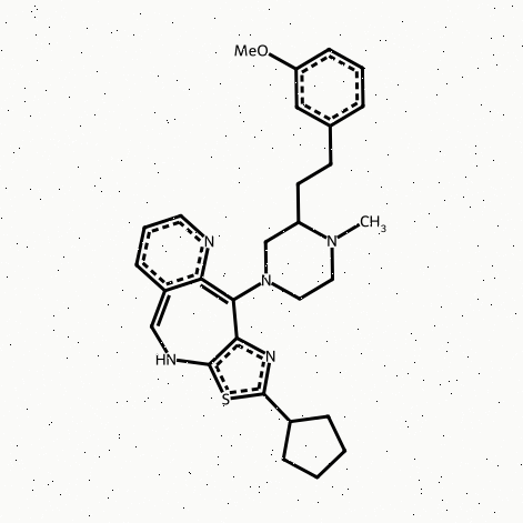 COc1cccc(CCC2CN(C3=c4ncccc4=CNc4sc(C5CCCC5)nc43)CCN2C)c1